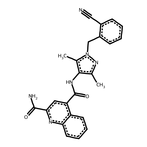 Cc1nn(Cc2ccccc2C#N)c(C)c1NC(=O)c1cc(C(N)=O)nc2ccccc12